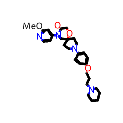 COc1cc(N2CC3(CCN(c4ccc(OCCCN5CCCCC5)cc4)CC3)OCC2=O)ccn1